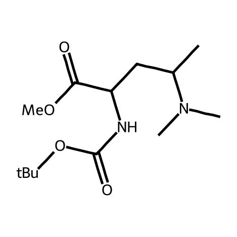 COC(=O)C(CC(C)N(C)C)NC(=O)OC(C)(C)C